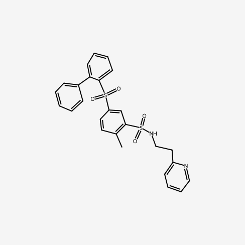 Cc1ccc(S(=O)(=O)c2ccccc2-c2ccccc2)cc1S(=O)(=O)NCCc1ccccn1